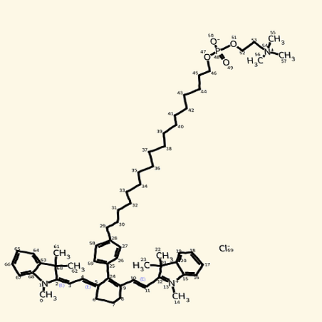 CN1/C(=C/C=C2\CCCC(/C=C/C3=[N+](C)c4ccccc4C3(C)C)=C2c2ccc(CCCCCCCCCCCCCCCCCCOP(=O)([O-])OCC[N+](C)(C)C)cc2)C(C)(C)c2ccccc21.[Cl-]